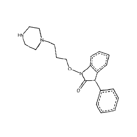 O=C1C(c2ccccc2)c2ccccc2N1OCCCN1CCNCC1